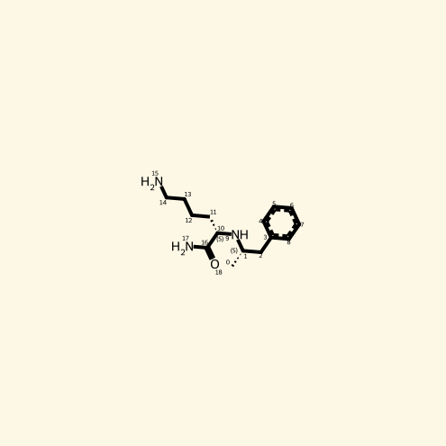 C[C@@H](Cc1ccccc1)N[C@@H](CCCCN)C(N)=O